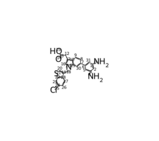 Nc1cc(N)cc(-c2ccc3c(CC(=O)O)cn(Cc4csc5cc(Cl)ccc45)c3c2)c1